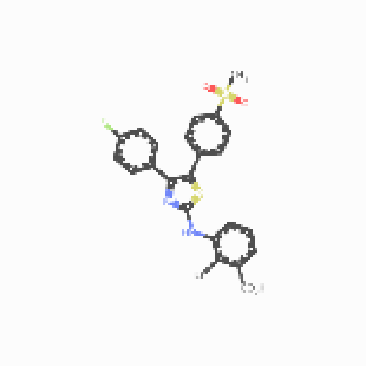 CCc1c(Nc2nc(-c3ccc(F)cc3)c(-c3ccc(S(C)(=O)=O)cc3)s2)cccc1C(=O)O